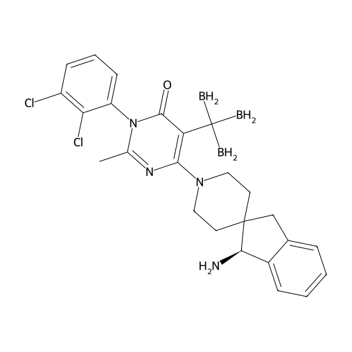 BC(B)(B)c1c(N2CCC3(CC2)Cc2ccccc2[C@H]3N)nc(C)n(-c2cccc(Cl)c2Cl)c1=O